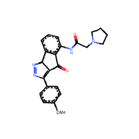 COc1ccc(C2=C3C(=O)c4c(NC(=O)CN5CCCC5)cccc4C3N=N2)cc1